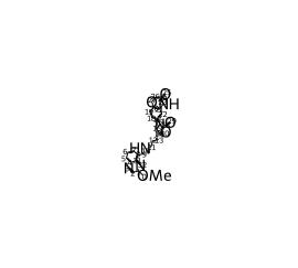 COc1cnc2cccc(CNCCC[C@@H]3CN(c4ccc5c(c4)NC(=O)CO5)C(=O)O3)c2n1